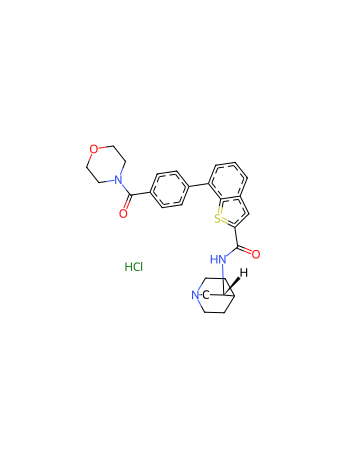 Cl.O=C(N[C@H]1CN2CCC1CC2)c1cc2cccc(-c3ccc(C(=O)N4CCOCC4)cc3)c2s1